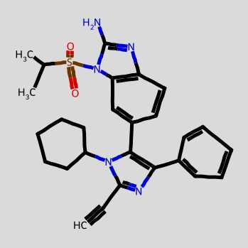 C#Cc1nc(-c2ccccc2)c(-c2ccc3nc(N)n(S(=O)(=O)C(C)C)c3c2)n1C1CCCCC1